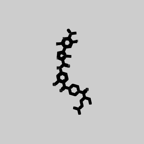 CCC(CCN(C)C)C(=O)N1CCN(C(=O)c2ccc(NC(=O)c3ncc(-c4cc(F)c(N(C)C)nc4F)n3C)cc2Cl)CC1